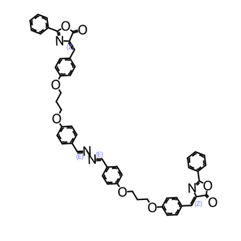 O=C1OC(c2ccccc2)=N/C1=C\c1ccc(OCCCOc2ccc(/C=N/N=C/c3ccc(OCCCOc4ccc(/C=C5\N=C(c6ccccc6)OC5=O)cc4)cc3)cc2)cc1